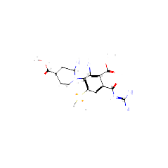 CC(C)(C)OC(=O)c1c(C(=O)N=C(N)N)cc(S(C)(=O)=O)c(N2CCC(C(=O)OC(C)(C)C)CC2N)c1N